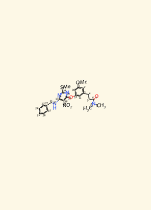 COc1cc(CCC(=O)N(C)C)cc(Oc2nc(SC)nc(NCc3ccccc3)c2[N+](=O)[O-])c1